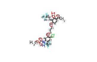 COC(=O)C(=O)Nc1cc(OCCCOc2ccc(C(C)=O)c(O)c2CCC(F)(F)F)c(Cl)cc1C(F)(F)F